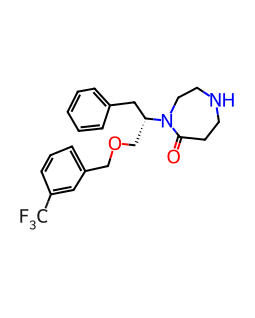 O=C1CCNCCN1[C@H](COCc1cccc(C(F)(F)F)c1)Cc1ccccc1